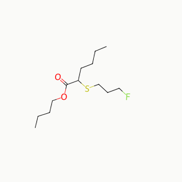 CCCCOC(=O)C(CCCC)SCCCF